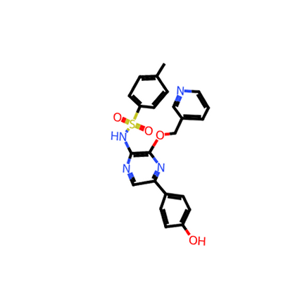 Cc1ccc(S(=O)(=O)Nc2ncc(-c3ccc(O)cc3)nc2OCc2cccnc2)cc1